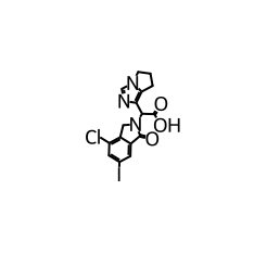 O=C(O)C(c1ncn2c1CCC2)N1Cc2c(Cl)cc(I)cc2C1=O